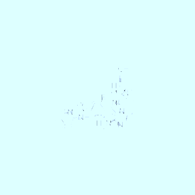 CC#CC(O)N1C2CCC1(c1nc(-c3ccc(C(=O)Nc4ccccn4)cc3F)c3c(N)nccn13)CC2